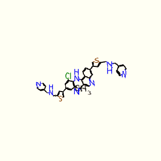 Cc1cc(-c2csc(CNCc3ccncc3)c2)cc(Cl)c1Nc1c(C#N)cnc2cc(-c3csc(CNCc4ccncc4)c3)ccc12